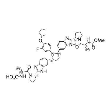 COC(=O)N[C@H](C(=O)N1CCC[C@H]1c1nc2ccc([C@H]3CC[C@H](c4ccc5nc([C@@H]6CCCN6C(=O)[C@@H](NC(=O)O)C(C)C)[nH]c5c4)N3c3ccc(OC4CCCC4)c(F)c3)cc2[nH]1)C(C)C